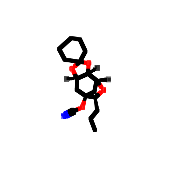 CCC[C@@H]1O[C@@H]2C[C@@]1(OC#N)C[C@H]1OC3(CCCCC3)O[C@@H]21